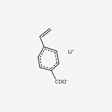 C=Cc1ccc(C(=O)[O-])cc1.[Li+]